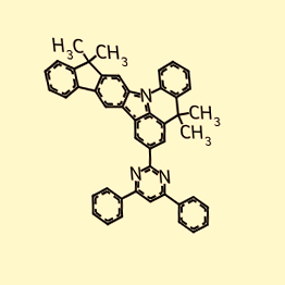 CC1(C)c2ccccc2-c2cc3c4cc(-c5nc(-c6ccccc6)cc(-c6ccccc6)n5)cc5c4n(c3cc21)-c1ccccc1C5(C)C